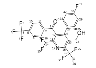 O=C(c1ccc(C(F)(F)F)cc1)c1c(C(F)F)nc(C(F)(F)F)c(CO)c1-c1ccc(F)cc1